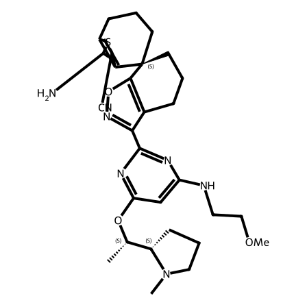 COCCNc1cc(O[C@@H](C)[C@@H]2CCCN2C)nc(-c2noc3c2CCC[C@@]32CCCc3sc(N)c(C#N)c32)n1